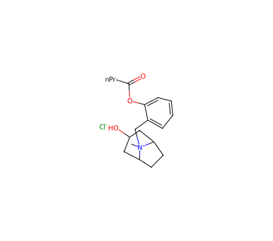 CCCC(=O)Oc1ccccc1C[N+]1(C)C2CCC1CC(O)C2.[Cl-]